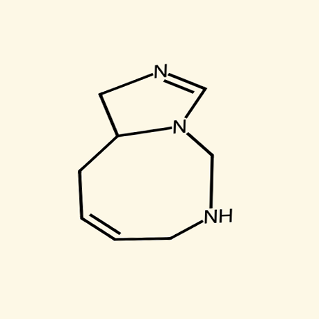 C1=NCC2C/C=C\CNCN12